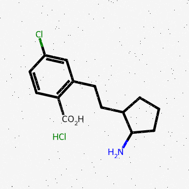 Cl.NC1CCCC1CCc1cc(Cl)ccc1C(=O)O